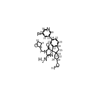 NC1=NC2(C(=O)N1CC1CCO1)c1cc(-c3cncc(F)c3)ccc1CC21CCC(OI)CC1